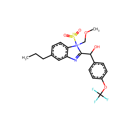 CCCc1ccc2c(c1)N=C(C(O)c1ccc(OC(F)(F)F)cc1)[N+]2(COC)[SH](=O)=O